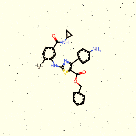 Cc1ccc(C(=O)NC2CC2)cc1Nc1nc(-c2ccc(N)cc2)c(C(=O)OCc2ccccc2)s1